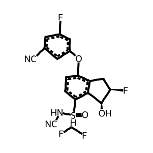 N#CN[SH](=O)(c1ccc(Oc2cc(F)cc(C#N)c2)c2c1[C@H](O)[C@H](F)C2)C(F)F